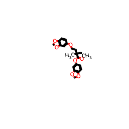 CCC(C)(CCOc1ccc2c(c1)OCO2)C(=O)Oc1ccc2c(c1)OCO2